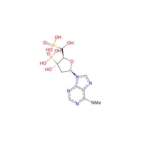 CNc1ncnc2c1ncn2[C@H]1C[C@@](O)(P(=O)(O)O)[C@@H](C(O)P(=O)(O)O)O1